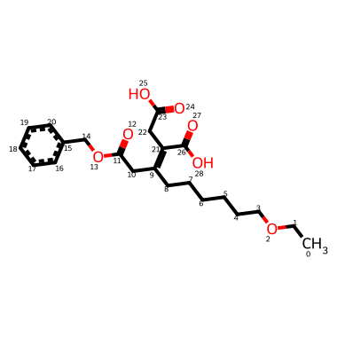 CCOCCCCCCC(CC(=O)OCc1ccccc1)=C(CC(=O)O)C(=O)O